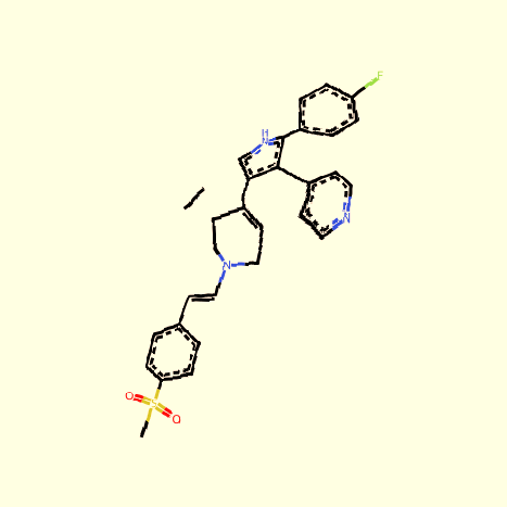 CC.CS(=O)(=O)c1ccc(C=CN2CC=C(c3c[nH]c(-c4ccc(F)cc4)c3-c3ccncc3)CC2)cc1